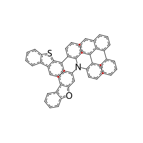 c1ccc(-c2cccc3cccc(-c4ccccc4N(c4ccc5c(c4)oc4ccccc45)c4ccccc4-c4cccc5c4sc4ccccc45)c23)cc1